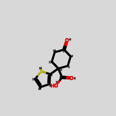 O=C1CCC(C(=O)O)(c2cccs2)CC1